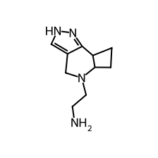 NCCN1Cc2c[nH]nc2C2CCC21